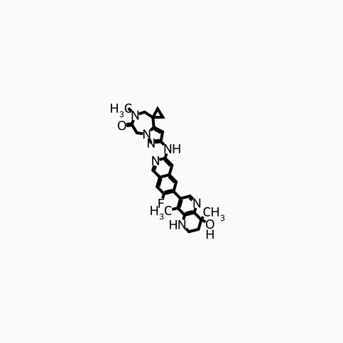 Cc1c(-c2cc3cc(Nc4cc5n(n4)CC(=O)N(C)CC54CC4)ncc3cc2F)cnc2c1NCCC2(C)O